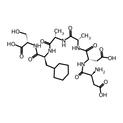 C[C@H](NC(=O)[C@H](C)NC(=O)[C@H](CC(=O)O)NC(=O)[C@@H](N)CC(=O)O)C(=O)N[C@@H](CC1CCCCC1)C(=O)N[C@@H](CO)C(=O)O